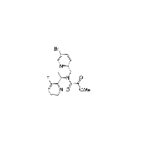 COC(=O)C(=O)N(Cc1ccc(Br)cn1)C(C)c1ncccc1F